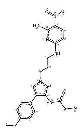 CCc1ccc(-c2cn(CCCNc3ccc([N+](=O)[O-])c(N)n3)cc2NC(=O)CBr)cc1